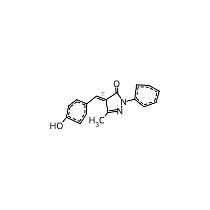 CC1=NN(c2ccccc2)C(=O)/C1=C/c1ccc(O)cc1